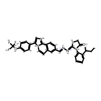 CCC(C)c1ccccc1N1C(=O)CS/C1=N\N=C\c1ccc2c(ccn3c(-c4ccc(OC(F)(F)F)cc4)cnc23)c1